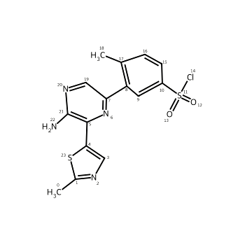 Cc1ncc(-c2nc(-c3cc(S(=O)(=O)Cl)ccc3C)cnc2N)s1